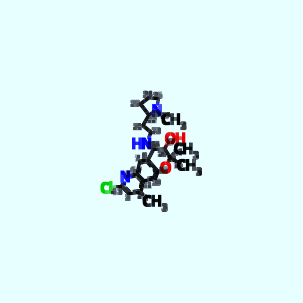 Cc1cc(Cl)nc2cc3c(cc12)OC(C)(C)C(O)C3NCCC1CCCN1C